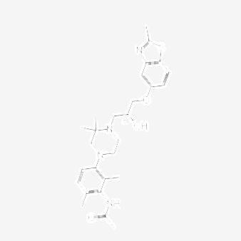 CC(=O)Nc1c(C)ccc(N2CCN(C[C@H](O)COc3ccc4sc(C)nc4c3)C(C)(C)C2)c1C